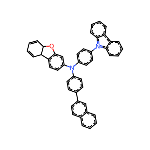 C1=CC2Oc3cc(N(c4ccc(-c5ccc6ccccc6c5)cc4)c4ccc(-n5c6ccccc6c6ccccc65)cc4)ccc3C2C=C1